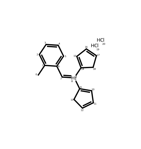 Cc1ccccc1[CH]=[Hf]([C]1=CC=CC1)[C]1=CC=CC1.Cl.Cl